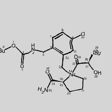 CC(C)(C)OC(=O)NCc1ccc(Cl)cc1C[N+]1(C(=O)[C@H](O)C(C)(C)C)CCC[C@H]1C(N)=O